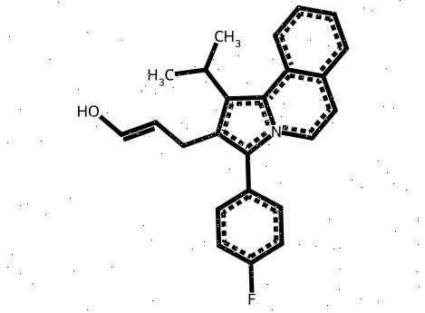 CC(C)c1c(C/C=C/O)c(-c2ccc(F)cc2)n2ccc3ccccc3c12